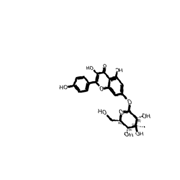 C[C@]1(O)[C@H](O)[C@@H](CO)OC(Oc2cc(O)c3c(=O)c(O)c(-c4ccc(O)cc4)oc3c2)[C@@H]1O